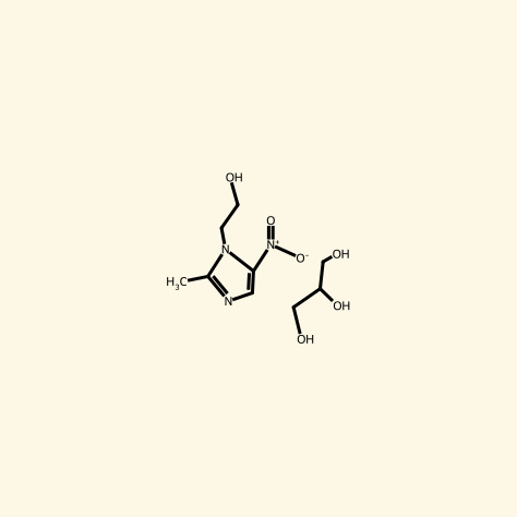 Cc1ncc([N+](=O)[O-])n1CCO.OCC(O)CO